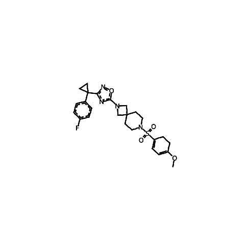 COC1=CC=C(S(=O)(=O)N2CCC3(CC2)CN(c2nc(C4(c5ccc(F)cc5)CC4)no2)C3)CC1